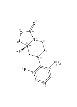 Nc1cncc(F)c1N1CCN2C(=O)OC[C@H]2C1